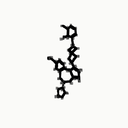 Cc1cccc(N2CC3(CC(c4nnc5n4-c4ccc(Cl)cc4CN([C@@H]4CCOC4)C5)C3)C2)c1F